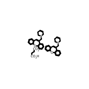 C1=CCN(CC2=Cc3ccccc3Oc3ccccc32)CC1.C1=CCN(CC2=Cc3ccccc3Oc3ccccc32)CC1.O=C(O)CCC(=O)O